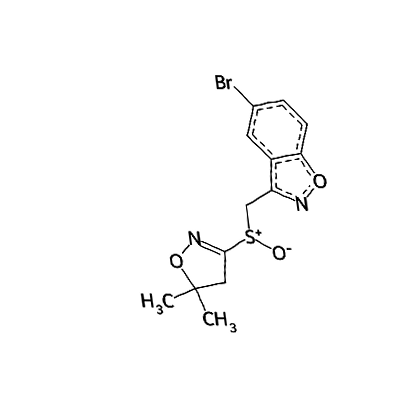 CC1(C)CC([S+]([O-])Cc2noc3ccc(Br)cc23)=NO1